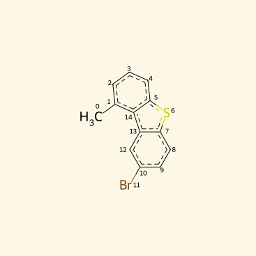 Cc1cccc2sc3ccc(Br)cc3c12